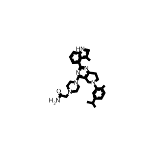 Cc1ccc(C(C)C)cc1N1CCc2nc(-c3cccc4[nH]cc(C)c34)nc(N3CCN(CC(N)=O)CC3)c2C1